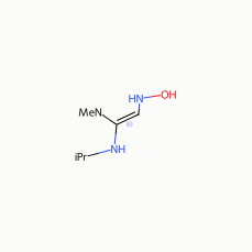 CN/C(=C\NO)NC(C)C